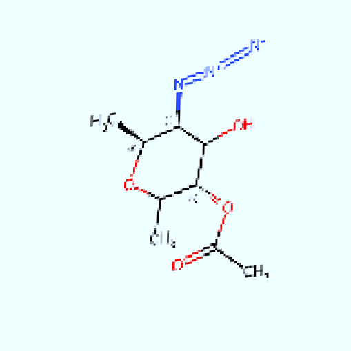 CC(=O)O[C@@H]1C(C)O[C@@H](C)[C@@H](N=[N+]=[N-])C1O